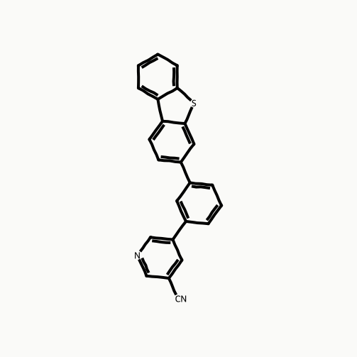 N#Cc1cncc(-c2cccc(-c3ccc4c(c3)sc3ccccc34)c2)c1